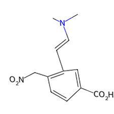 CN(C)C=Cc1cc(C(=O)O)ccc1C[N+](=O)[O-]